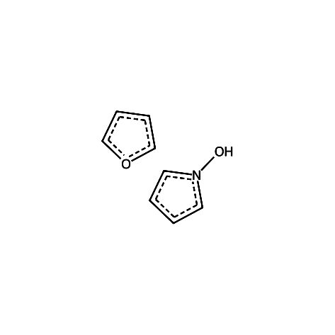 On1cccc1.c1ccoc1